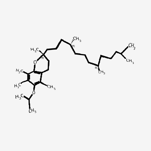 Cc1c(C)c2c(c(C)c1OC(C)C)CC[C@@](C)(CCC[C@H](C)CCC[C@H](C)CCCC(C)C)O2